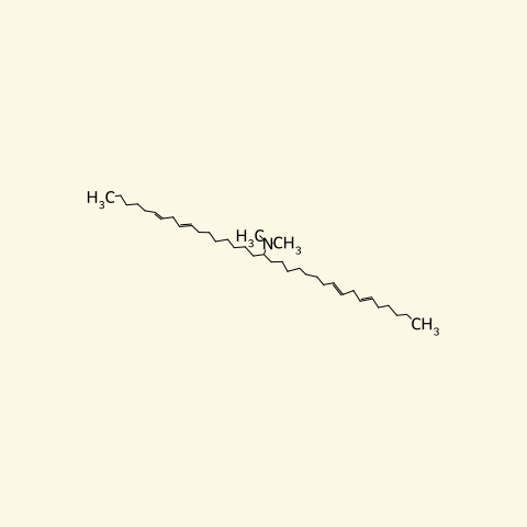 CCCCCC=CCC=CCCCCCCCC(CCCCCCCC=CCC=CCCCCC)N(C)C